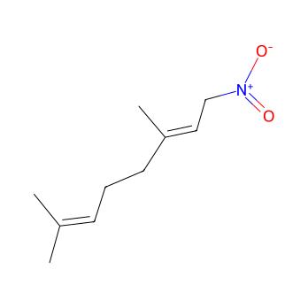 CC(C)=CCC/C(C)=C/C[N+](=O)[O-]